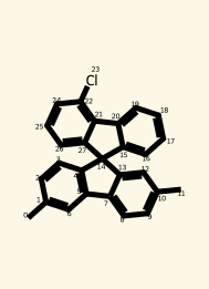 Cc1ccc2c(c1)-c1ccc(C)cc1C21c2ccccc2-c2c(Cl)cccc21